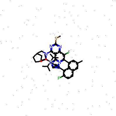 CSc1nc(N2CC3CCC(C3)C2)c2c(n1)c(F)c(-c1cc(C)cc3ccc(F)c(C#C[Si](C(C)C)(C(C)C)C(C)C)c13)n1ncnc21